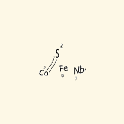 [Fe].[Nb].[S]=[Co]